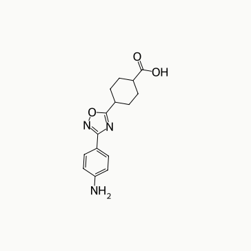 Nc1ccc(-c2noc(C3CCC(C(=O)O)CC3)n2)cc1